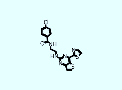 O=C(NCCNc1nc(-c2nccs2)c2sccc2n1)c1ccc(Cl)cc1